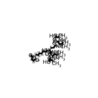 CC(C)[C@H](NC(=O)CC[C@H](NC(=O)CCCCCN1C(=O)C=CC1=O)C(=O)N[C@H](C(=O)N[C@@H](C)C(=O)O)C(C)C)C(=O)N[C@@H](C)C(=O)O